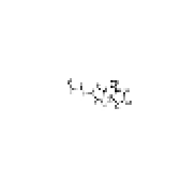 CCCCCCC(C)(CC)N1CC=CC1=O